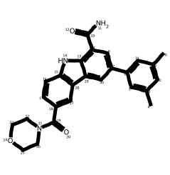 Cc1cc(C)cc(-c2cc(C(N)=O)c3[nH]c4ccc(C(=O)N5CCOCC5)cc4c3c2)c1